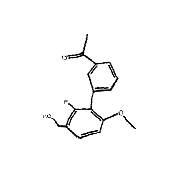 COc1ccc(CO)c(F)c1-c1cccc(C(C)=O)c1